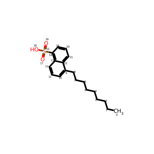 CCCCCCCCCc1cccc2c(S(=O)(=O)O)cccc12